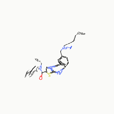 COCCCNCc1ccc2nc3sc(C(=O)N(C)CC(C)(C)C)cn3c2c1